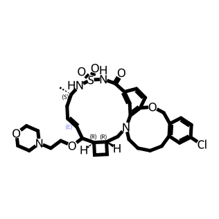 C[C@H]1C/C=C/C(OCCN2CCOCC2)[C@@H]2CC[C@H]2CN2CCCCc3cc(Cl)ccc3COc3ccc(cc32)C(=O)NS(=O)(=O)N1